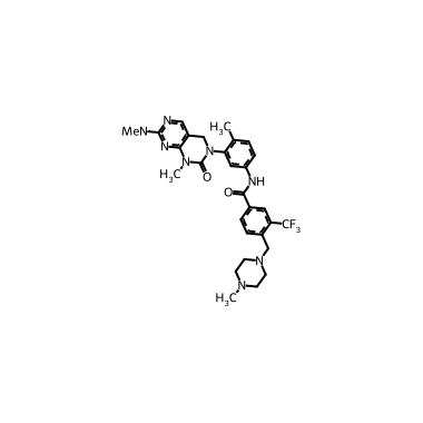 CNc1ncc2c(n1)N(C)C(=O)N(c1cc(NC(=O)c3ccc(CN4CCN(C)CC4)c(C(F)(F)F)c3)ccc1C)C2